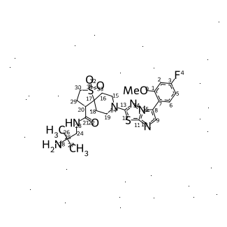 COc1cc(F)ccc1-c1cnc2sc(N3CCC4(CC3)C(C(=O)NCC(C)(C)N)CCS4(=O)=O)nn12